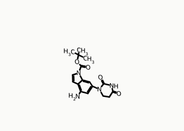 CC(C)(C)OC(=O)n1ccc2c(N)cc(N3CCC(=O)NC3=O)cc21